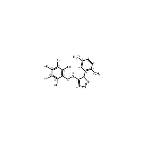 Cc1ccc(C)c(-n2nnnc2SCc2c(F)c(F)c(F)c(F)c2F)c1